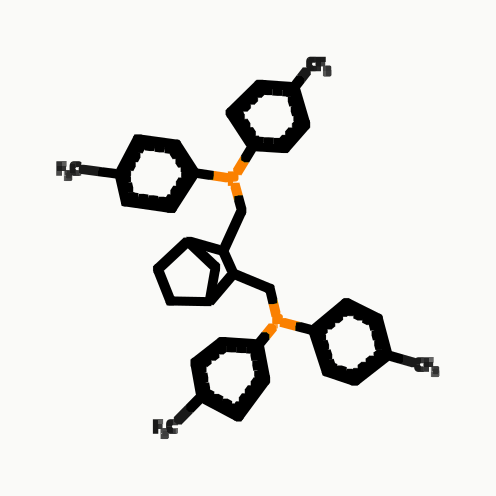 FC(F)(F)c1ccc(P(CC2C3CCC(C3)C2CP(c2ccc(C(F)(F)F)cc2)c2ccc(C(F)(F)F)cc2)c2ccc(C(F)(F)F)cc2)cc1